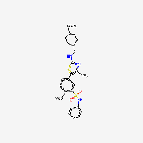 CCOC(=O)[C@H]1CC[C@H](CNc2nc(C)c(-c3ccc(OC)c(S(=O)(=O)Nc4ccccc4)c3)s2)CC1